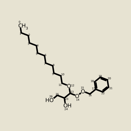 CCCCCCCCCCCCOC(OOCc1ccccc1)C(O)CO